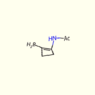 BC1=C(NC(C)=O)CC1